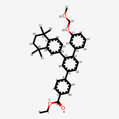 CCOC(=O)c1ccc(-c2ccc(-c3cccc(OCOC)c3)c(-c3ccc4c(c3)C(C)(C)CCC4(C)C)c2)cc1